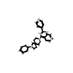 c1cc(-c2nc(N3CCC4(CC3)CCN(C3CCCCC3)C4)c3ccncc3n2)ccn1